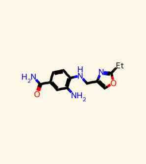 CCc1nc(CNc2ccc(C(N)=O)cc2N)co1